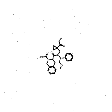 COC[C@H](c1ccccc1)N(CC1(C(=O)OC)CC1)C(=O)C1Cc2ccccc2CN1C(=O)O